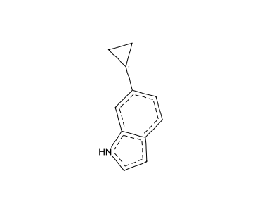 c1cc2ccc([C]3CC3)cc2[nH]1